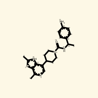 Cc1nc2c(C)ncc(C3CCN(C(=O)NC(C)c4ccc(N)cc4)CC3)c2[nH]1